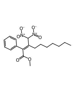 CCCCCCC/C(=C(\C(=O)OC)c1ccccc1)C([N+](=O)[O-])[N+](=O)[O-]